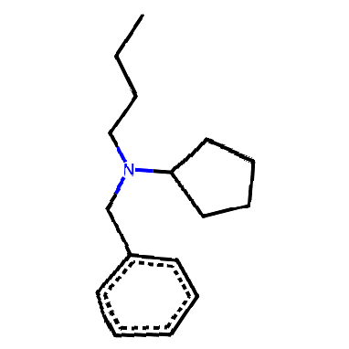 CCCCN(Cc1ccccc1)C1CCCC1